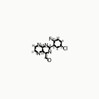 O=Cc1nc(-c2cc(Cl)ccc2F)nc2nccnc12